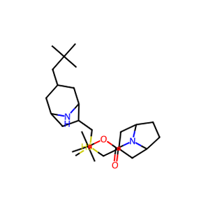 C[SH](CC1CC2CCC(C1)N2C(=O)OC(C)(C)C)CC1CC2CC(CC(C)(C)C)CC1N2